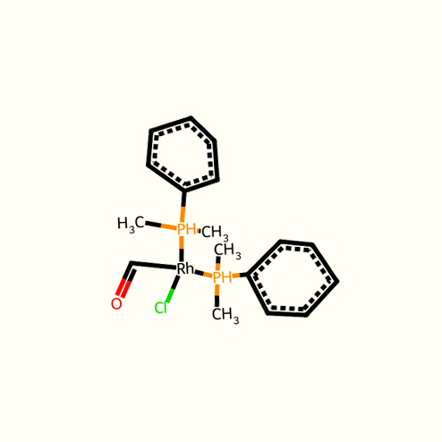 C[PH](C)(c1ccccc1)[Rh]([Cl])([CH]=O)[PH](C)(C)c1ccccc1